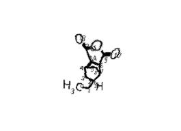 CC[C@H]1CC2CCC1C1C(=O)OC(=O)C21